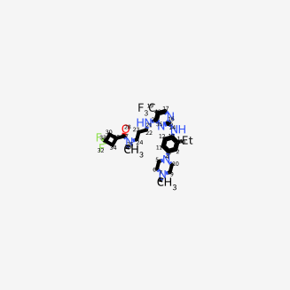 CCc1cc(N2CCN(C)CC2)ccc1Nc1ncc(C(F)(F)F)c(NCCCN(C)C(=O)C2CC(F)(F)C2)n1